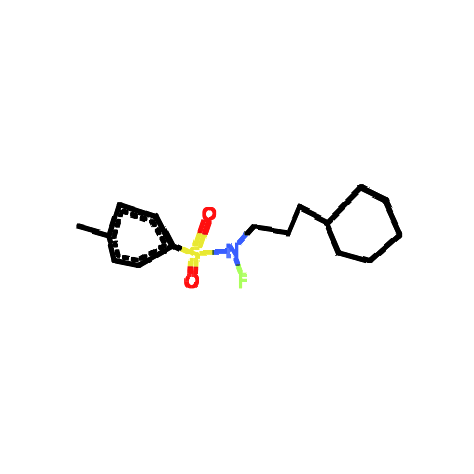 Cc1ccc(S(=O)(=O)N(F)CCCC2CCCCC2)cc1